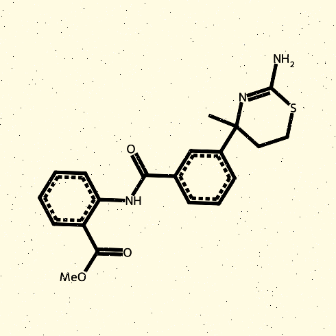 COC(=O)c1ccccc1NC(=O)c1cccc(C2(C)CCSC(N)=N2)c1